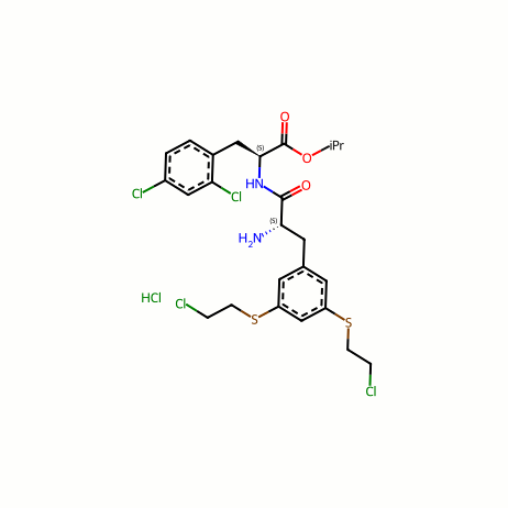 CC(C)OC(=O)[C@H](Cc1ccc(Cl)cc1Cl)NC(=O)[C@@H](N)Cc1cc(SCCCl)cc(SCCCl)c1.Cl